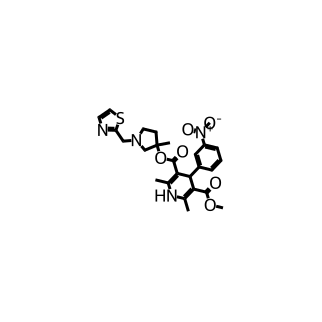 COC(=O)C1=C(C)NC(C)=C(C(=O)OC2(C)CCN(Cc3nccs3)C2)C1c1cccc([N+](=O)[O-])c1